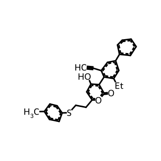 C#Cc1cc(-c2ccccc2)cc(CC)c1-c1c(O)cc(CCSc2ccc(C)cc2)oc1=O